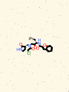 CC(C)C[C@H](NC(=O)c1cc2ccccc2o1)C(=O)CN(C[C@@H]1CCNC1=O)C(=O)CCl